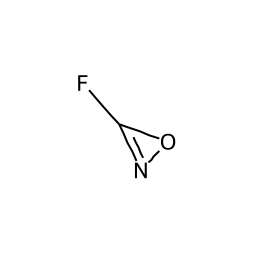 FC1=NO1